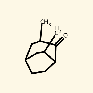 CC1CC2CCC(C1=O)C(C)C2